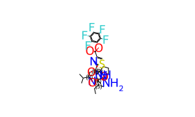 CC[C@H](C)[C@](C(N)=O)(C(=O)[C@@]1(C)CCCN1C)N(C)[C@H](C[C@@H](NC(C)=O)c1nc(C(=O)Oc2c(F)c(F)c(F)c(F)c2F)cs1)C(C)C